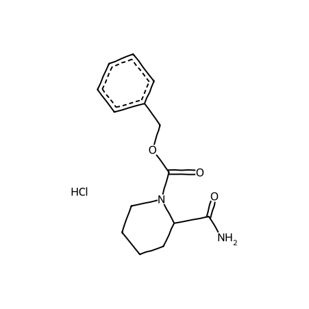 Cl.NC(=O)C1CCCCN1C(=O)OCc1ccccc1